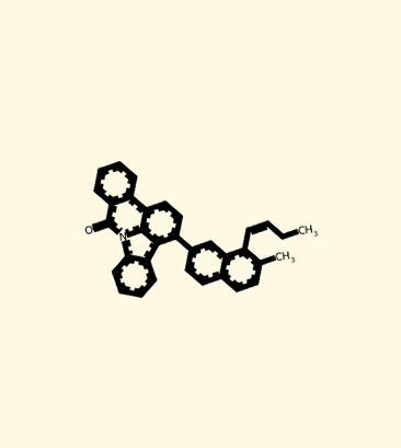 CC/C=C\c1c(C)ccc2ccc(-c3ccc4c5ccccc5c(=O)n5c6ccccc6c3c45)cc12